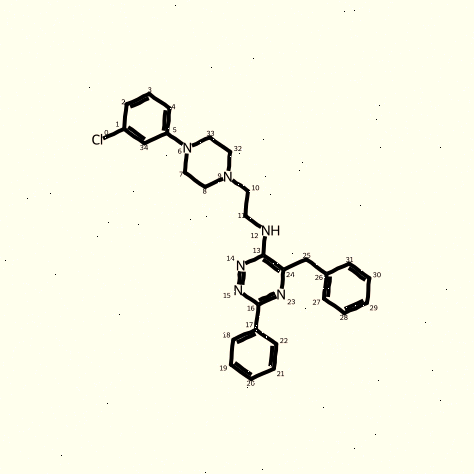 Clc1cccc(N2CCN(CCNc3nnc(-c4ccccc4)nc3Cc3ccccc3)CC2)c1